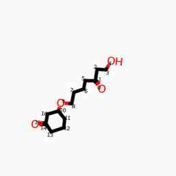 O=C(CCO)CCCCOC1CCCC(=O)C1